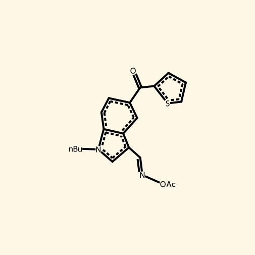 CCCCn1cc(C=NOC(C)=O)c2cc(C(=O)c3cccs3)ccc21